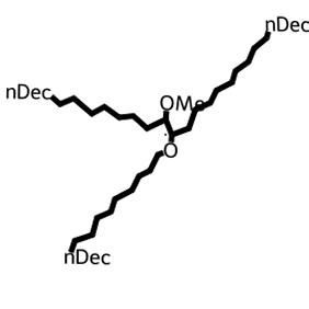 CCCCCCCCCCCCCCCCCCCO[C](CCCCCCCCCCCCCCCCCCC)C(CCCCCCCCCCCCCCCCC)OC